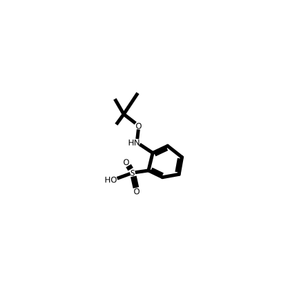 CC(C)(C)ONc1ccccc1S(=O)(=O)O